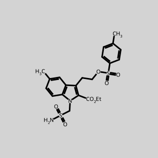 CCOC(=O)c1c(CCOS(=O)(=O)c2ccc(C)cc2)c2cc(C)ccc2n1CS(N)(=O)=O